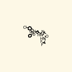 CC1(C)N=C(C23CC(N(Cc4ccc(Cl)cc4)S(=O)(=O)c4ccccc4)(C2)C3)N[C@H]1C(=O)NC[C@H]1CC1(F)F